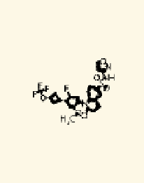 COc1cc([C@H]2C[C@@H](OC(F)(F)F)C2)c(F)cc1-n1c(=O)ccc2cc(S(=O)(=O)Nc3ccon3)ccc21